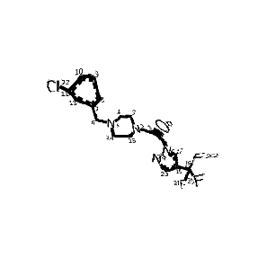 O=C(N1CCN(Cc2cccc(Cl)c2)CC1)n1cc(C(F)(F)F)cn1